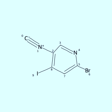 [C-]#[N+]c1cnc(Br)cc1I